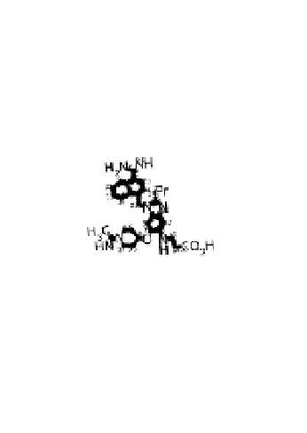 CC(=N)N1CCC(Oc2cc3c(cc2NCCC(=O)O)nc(C(C)C)n3Cc2ccc(C(=N)N)c3ccccc23)CC1